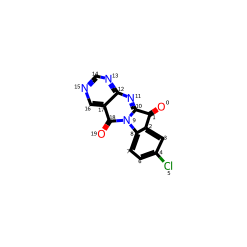 O=C1c2cc(Cl)ccc2-n2c1nc1ncncc1c2=O